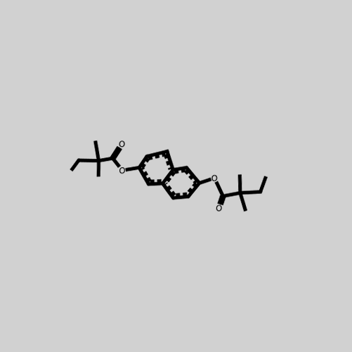 CCC(C)(C)C(=O)Oc1ccc2cc(OC(=O)C(C)(C)CC)ccc2c1